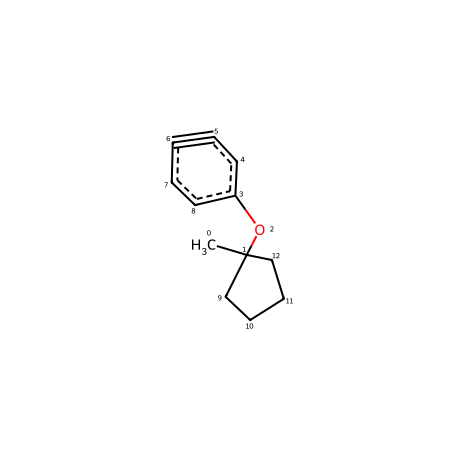 CC1(Oc2cc#ccc2)CCCC1